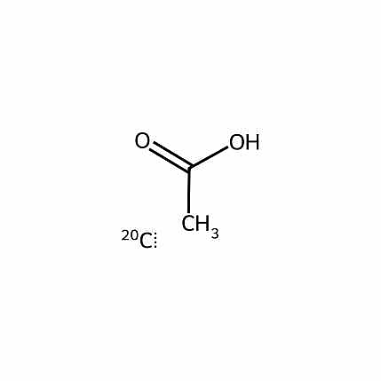 CC(=O)O.[20C]